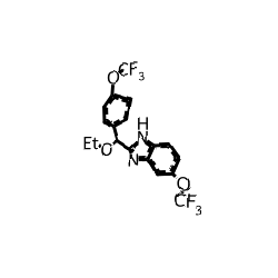 CCOC(c1ccc(OC(F)(F)F)cc1)c1nc2cc(OC(F)(F)F)ccc2[nH]1